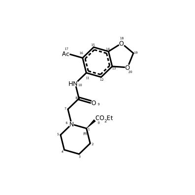 CCOC(=O)[C@H]1CCCCN1CC(=O)Nc1cc2c(cc1C(C)=O)OCO2